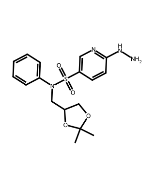 CC1(C)OCC(CN(c2ccccc2)S(=O)(=O)c2ccc(NN)nc2)O1